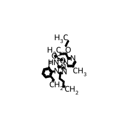 C=CCCc1nnc(NS(=O)(=O)[C@@H](C)[C@@H](OCCC)c2ncc(C)cn2)n1-c1c(F)cccc1C=C